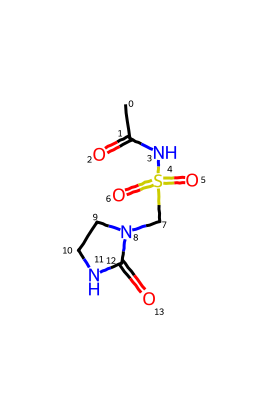 CC(=O)NS(=O)(=O)CN1CCNC1=O